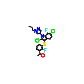 CCCn1cc(-n2c(Cl)c(Sc3cccc(C(C)=O)c3F)c3ccc(Cl)c(F)c32)cn1